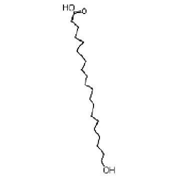 O=C(O)CCCCCCCCCCCCCCCCCCCO